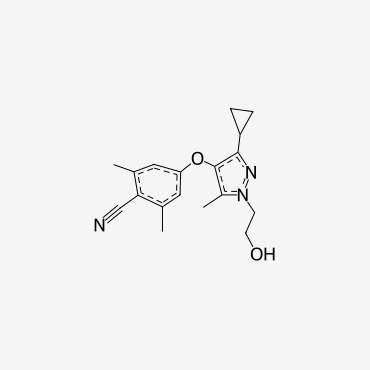 Cc1cc(Oc2c(C3CC3)nn(CCO)c2C)cc(C)c1C#N